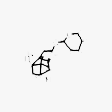 CC1(C)[C@H]2CC(=O)[C@H](CCOC3CCCCO3)[C@@H]1C2